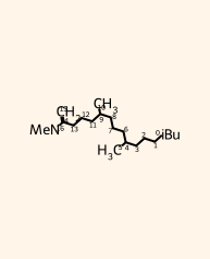 [CH2]CC(C)CCCC(C)CCCC(C)CCCC(=C)NC